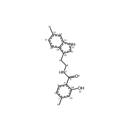 Cc1ccc(C(=O)NCCc2c[nH]c3cc(C)ccc23)c(O)c1